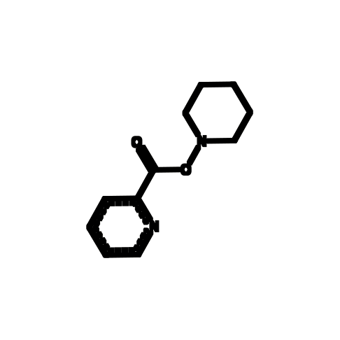 O=C(ON1CCCCC1)c1ccccn1